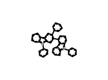 c1ccc(-c2cc3c4ccccc4n(-c4ccccc4)c3cc2-c2cccc3c2c2ccccc2n3-c2ccccc2)cc1